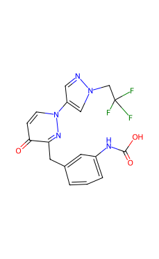 O=C(O)Nc1cccc(Cc2nn(-c3cnn(CC(F)(F)F)c3)ccc2=O)c1